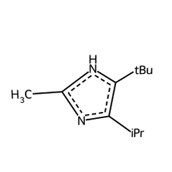 Cc1nc(C(C)C)c(C(C)(C)C)[nH]1